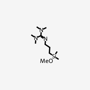 CO[Si](C)(C)CCCN=C(N(C)C)N(C)C